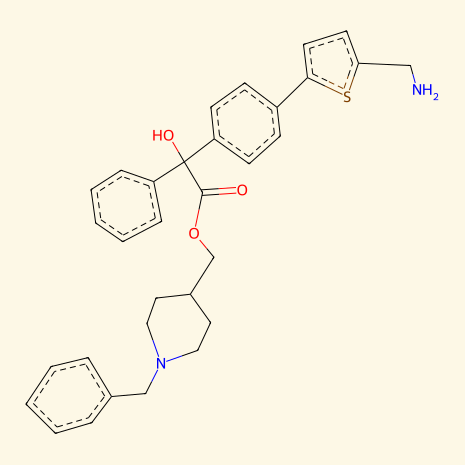 NCc1ccc(-c2ccc(C(O)(C(=O)OCC3CCN(Cc4ccccc4)CC3)c3ccccc3)cc2)s1